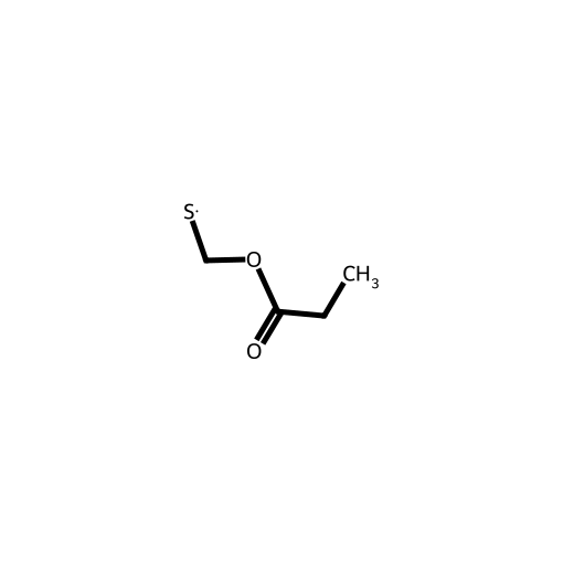 CCC(=O)OC[S]